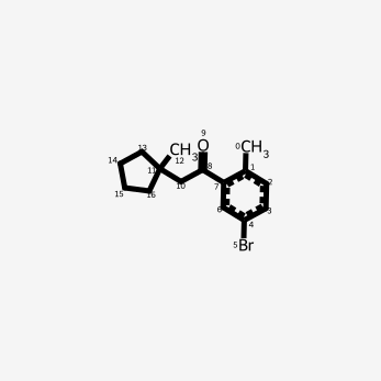 Cc1ccc(Br)cc1C(=O)CC1(C)CCCC1